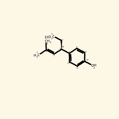 CCOC(=O)C[C@H](C=C(C)C)c1ccc(O)cc1